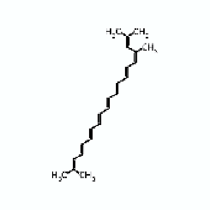 CC(C)=CC=CC=CC=CC=CC=CC=CC=C(C)C=C(C)C